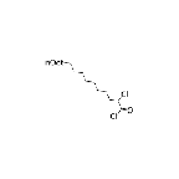 CCCCCCCCCCCCCCCCC(Cl)C(=O)Cl